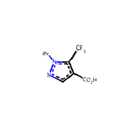 CC(C)n1ncc(C(=O)O)c1C(F)(F)F